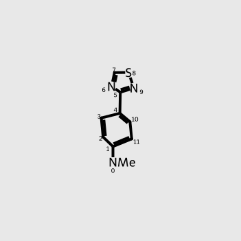 CNc1ccc(-c2ncsn2)cc1